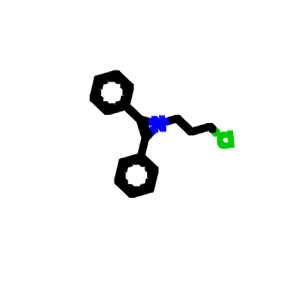 ClCCCN1C(c2ccccc2)=C1c1ccccc1